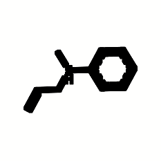 C=CC[SH](C)c1ccccc1